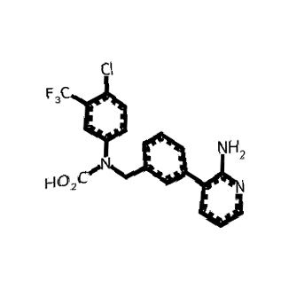 Nc1ncccc1-c1cccc(CN(C(=O)O)c2ccc(Cl)c(C(F)(F)F)c2)c1